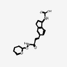 O=C(O)NC1CCc2cc(C=CC(=O)NOC3CCCCO3)ccc21